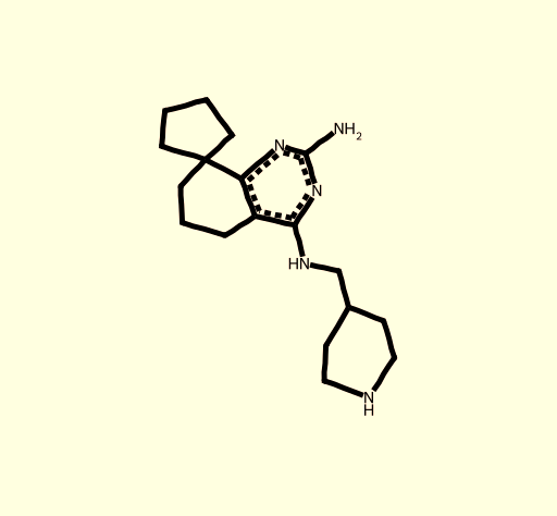 Nc1nc(NCC2CCNCC2)c2c(n1)C1(CCCC1)CCC2